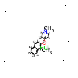 Cc1c(OC2CCN(C)CC2)ccc2ccccc12.Cl